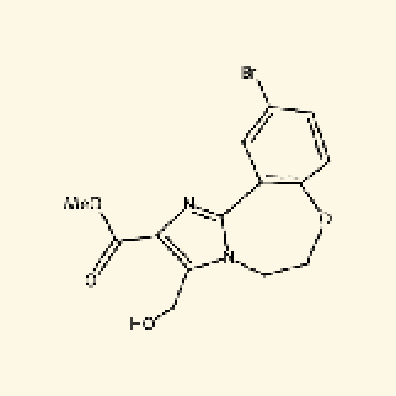 COC(=O)c1nc2n(c1CO)CCOc1ccc(Br)cc1-2